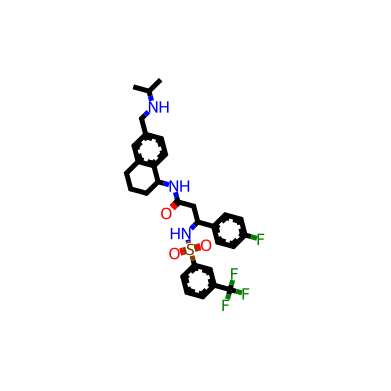 CC(C)NCc1ccc2c(c1)CCCC2NC(=O)CC(NS(=O)(=O)c1cccc(C(F)(F)F)c1)c1ccc(F)cc1